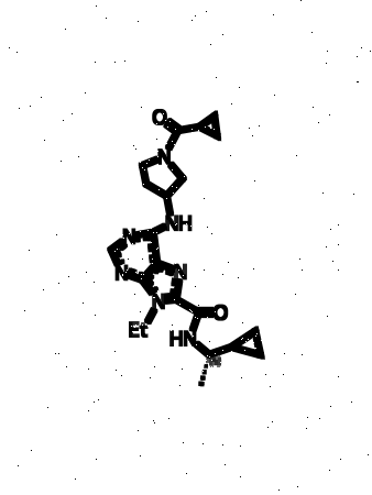 CCn1c(C(=O)N[C@@H](C)C2CC2)nc2c(NC3CCN(C(=O)C4CC4)C3)ncnc21